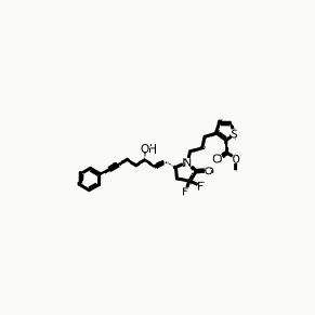 COC(=O)c1sccc1CCCN1C(=O)C(F)(F)C[C@@H]1/C=C/[C@@H](O)CCC#Cc1ccccc1